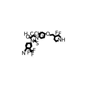 CC1(C)C(=O)N(c2ccc(C#N)c(C(F)(F)F)c2)C(=S)N1[C@H]1CC[C@H](OCCC2CCNCC2(F)F)CC1